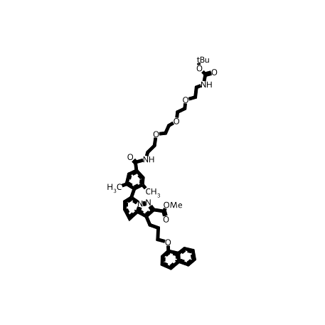 COC(=O)c1nn2c(-c3c(C)cc(C(=O)NCCOCCOCCOCCNC(=O)OC(C)(C)C)cc3C)cccc2c1CCCOc1cccc2ccccc12